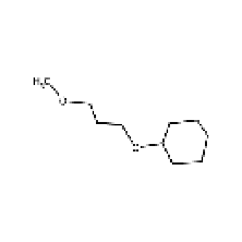 COCCCOC1CCCCC1